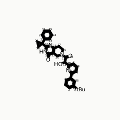 CC(C)(C)c1cccc(-c2cccc(C(O)C(=O)N3CCc4nc(C5(c6ccccc6)CC5)[nH]c(=O)c4C3)n2)c1